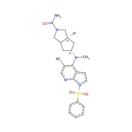 CN(c1c(C#N)cnc2c1ccn2S(=O)(=O)c1ccccc1)[C@@H]1CC2CN(C(N)=O)C[C@H]2C1